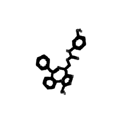 Cc1cccc(NC(=O)OCC2N=C(c3ccccc3)c3ccccc3-n3c(C)nnc32)c1